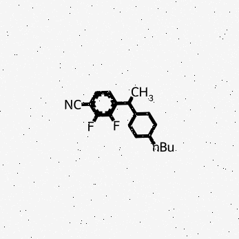 CCCCC1CCC(C(C)c2ccc(C#N)c(F)c2F)CC1